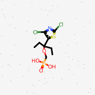 CCC(CC)(OCP(=O)(O)O)c1sc(Cl)nc1Cl